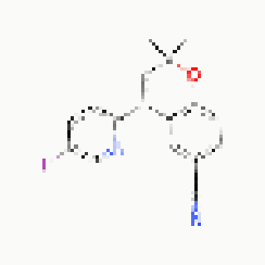 CC1(C)C=C(c2ccc(I)cn2)c2cc(C#N)ccc2O1